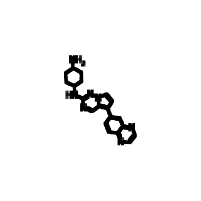 N[C@H]1CC[C@@H](Nc2ncc3c(-c4ccc5nccnc5c4)ccn3n2)CC1